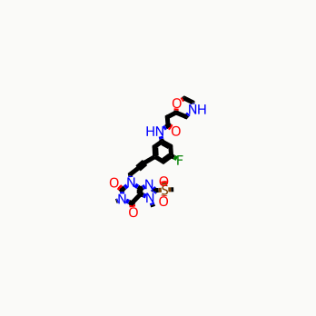 Cn1c(=O)c2c(nc(S(C)(=O)=O)n2C)n(CC#Cc2cc(F)cc(NC(=O)CC3CNCCO3)c2)c1=O